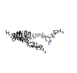 CCCCC/C=C\C/C=C\CCCCCCCC(=O)N(C(=O)OCC1=CC[C@@H](C(C)=O)CC1)C(=O)c1ncn2c(=O)n(C)nnc12